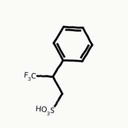 O=S(=O)(O)CC(c1ccccc1)C(F)(F)F